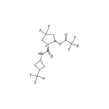 O=C(NC1CC(C(F)(F)F)C1)[C@H]1CC(F)(F)CN1OC(=O)C(F)(F)F